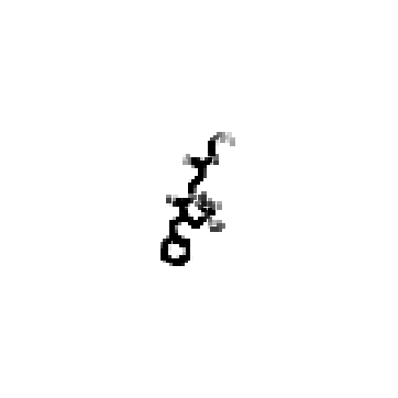 CCOC(=O)CCNC(=O)C(Cc1ccccc1)CP(=O)(O)O